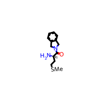 CSCC[C@@H](N)C(=O)N1Cc2ccccc2C1